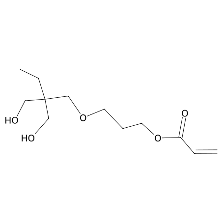 C=CC(=O)OCCCOCC(CC)(CO)CO